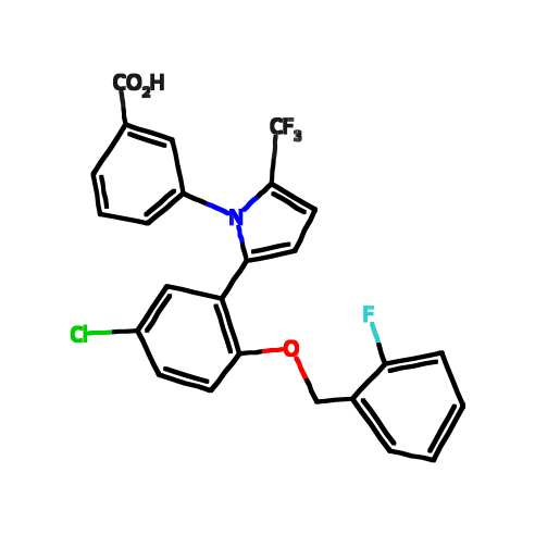 O=C(O)c1cccc(-n2c(-c3cc(Cl)ccc3OCc3ccccc3F)ccc2C(F)(F)F)c1